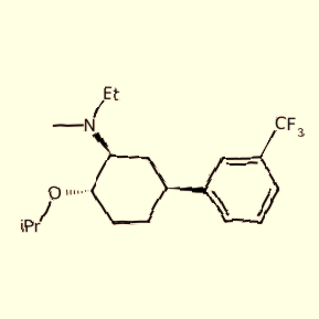 CCN(C)[C@H]1C[C@@H](c2cccc(C(F)(F)F)c2)CC[C@@H]1OC(C)C